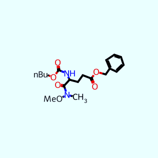 CCCCOC(=O)NC(CCC(=O)OCc1ccccc1)C(=O)N(C)OC